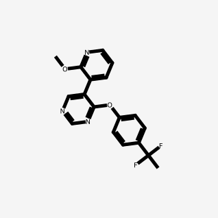 COc1ncccc1-c1cncnc1Oc1ccc(C(C)(F)F)cc1